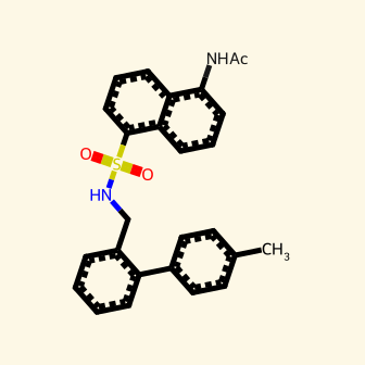 CC(=O)Nc1cccc2c(S(=O)(=O)NCc3ccccc3-c3ccc(C)cc3)cccc12